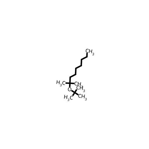 CCCCCCCC(C)(C)OC(C)(C)C